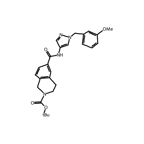 COc1cccc(Cn2cc(NC(=O)c3ccc4c(c3)CCN(C(=O)OC(C)(C)C)C4)cn2)c1